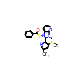 CCSc1cc(C(F)(F)F)cnc1C1N(C)c2ncccc2N1SC(=O)c1ccccc1